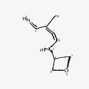 C/C(C=N)=C/NC1COC1